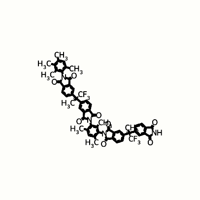 Cc1cc(C)c(N2C(=O)c3ccc([C@](C)(c4ccc5c(c4)C(=O)N(c4c(C)cc(C)c(N6C(=O)c7ccc([C@](C)(c8ccc9c(c8)C(=O)NC9=O)C(F)(F)F)cc7C6=O)c4C)C5=O)C(F)(F)F)cc3C2=O)c(C)c1C